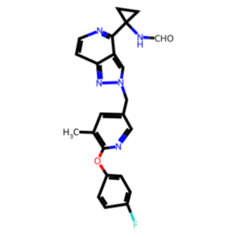 Cc1cc(Cn2cc3c(C4(NC=O)CC4)nccc3n2)cnc1Oc1ccc(F)cc1